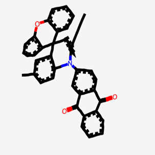 Cc1ccc2c(c1)C1(c3ccccc3Oc3ccccc31)c1cc(C)ccc1N2c1ccc2c(c1)C(=O)c1ccccc1C2=O